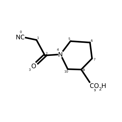 N#CCC(=O)N1CCCC(C(=O)O)C1